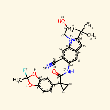 CC1(F)Oc2ccc(C3(C(=O)Nc4cc5cc(C(C)(C)C)n(CCO)c5cc4C#N)CC3)cc2O1